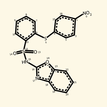 O=[N+]([O-])c1ccc(Sc2ccccc2S(=O)(=O)Nc2nc3ccccc3o2)cc1